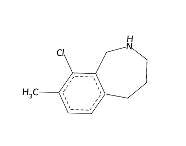 Cc1ccc2c(c1Cl)CNCCC2